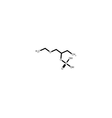 CCOCC(CC)OP(=O)(O)O